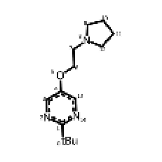 CC(C)(C)c1ncc(OCCN2CCCC2)cn1